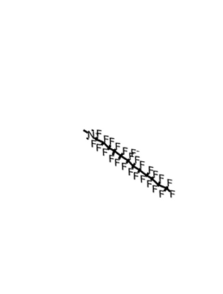 C[N+](C)(C)C(F)(F)C(F)(F)C(F)(F)C(F)(F)C(F)(F)C(F)(F)C(F)(F)C(F)(F)C(F)(F)C(F)(F)C(F)(F)C(F)(F)F.[F-]